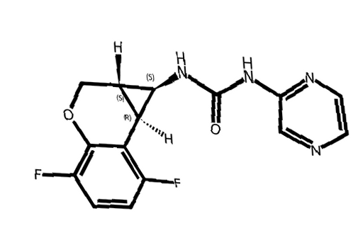 O=C(Nc1cnccn1)N[C@@H]1[C@H]2COc3c(F)ccc(F)c3[C@@H]21